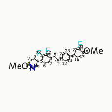 COc1ccc(-c2ccc(CCc3ccc(-c4ccc(OC)c(F)c4)cc3)c(F)c2F)cn1